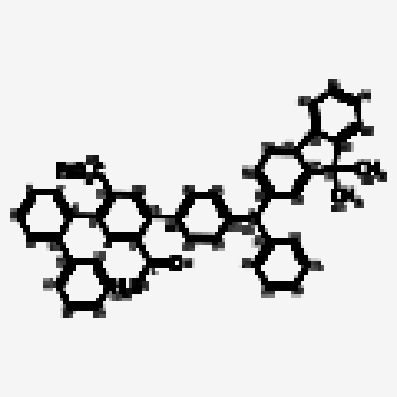 BC(=O)c1cc(-c2ccccc2-c2ccccc2)c(C(=O)OCC)cc1-c1ccc(N(c2ccccc2)c2ccc3c(c2)C(C)(C)c2ccccc2-3)cc1